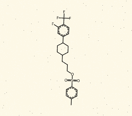 Cc1ccc(S(=O)(=O)OCCCC2CCC(c3ccc(C(F)(F)F)c(F)c3)CC2)cc1